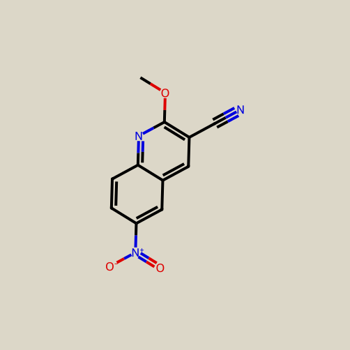 COc1nc2ccc([N+](=O)[O-])cc2cc1C#N